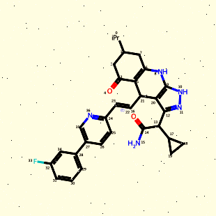 CC(C)C1CC(=O)C2=C(C1)Nc1[nH]nc(C(C(N)=O)C3CC3)c1C2/C=C/c1ccc(-c2cccc(F)c2)cn1